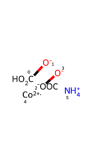 O=C([O-])O.O=C([O-])[O-].[Co+2].[NH4+]